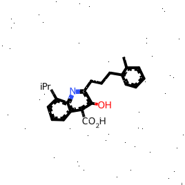 Cc1ccccc1CCCc1nc2c(C(C)C)cccc2c(C(=O)O)c1O